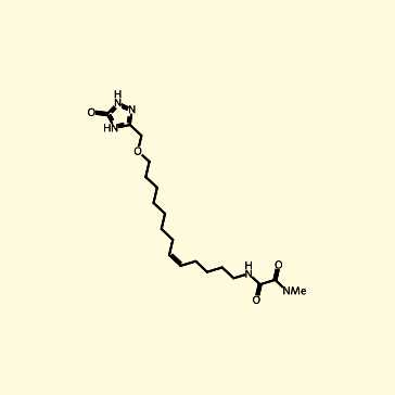 CNC(=O)C(=O)NCCCC/C=C\CCCCCCCOCc1n[nH]c(=O)[nH]1